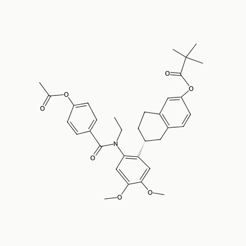 CCN(C(=O)c1ccc(OC(C)=O)cc1)c1cc(OC)c(OC)cc1[C@@H]1CCc2cc(OC(=O)C(C)(C)C)ccc2C1